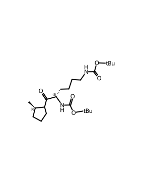 C[C@@H]1CCCC1C(=O)[C@H](CCCCNC(=O)OC(C)(C)C)NC(=O)OC(C)(C)C